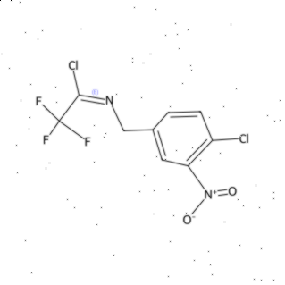 O=[N+]([O-])c1cc(C/N=C(/Cl)C(F)(F)F)ccc1Cl